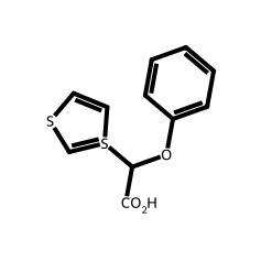 O=C(O)C(Oc1ccccc1)S1=CSC=C1